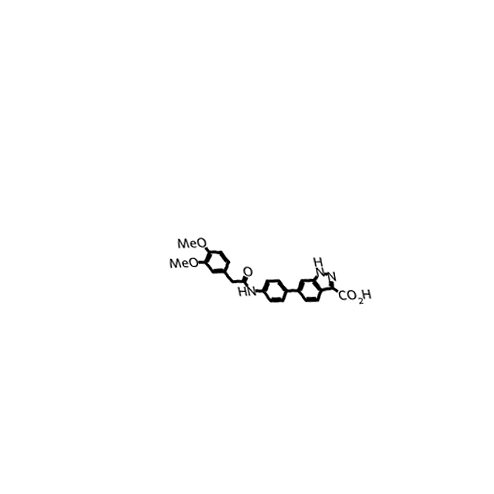 COc1ccc(CC(=O)Nc2ccc(-c3ccc4c(C(=O)O)n[nH]c4c3)cc2)cc1OC